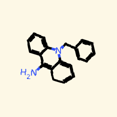 NC1=C2CC=CC=C2N(Cc2ccccc2)c2ccccc21